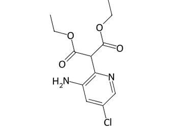 CCOC(=O)C(C(=O)OCC)c1ncc(Cl)cc1N